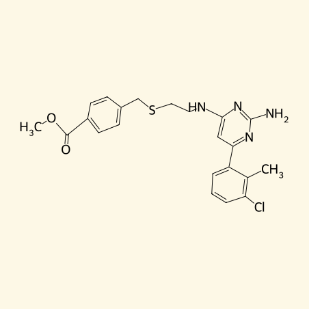 COC(=O)c1ccc(CSCCNc2cc(-c3cccc(Cl)c3C)nc(N)n2)cc1